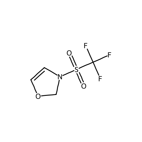 O=S(=O)(N1C=COC1)C(F)(F)F